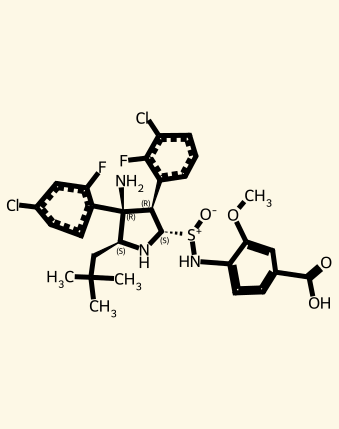 COC1=CC(C(=O)O)=C=C=C1N[S+]([O-])[C@@H]1N[C@@H](CC(C)(C)C)[C@](N)(c2ccc(Cl)cc2F)[C@H]1c1cccc(Cl)c1F